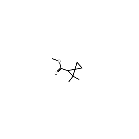 COC(=O)C1C(C)(C)C12CC2